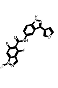 Cn1ncc2c(F)c(C(=O)Nc3ccc4[nH]nc(-c5ccoc5)c4c3)c(F)cc21